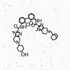 Cn1c(C(=O)Nc2cccc(-c3cccc(NC(=O)c4nc5c(n4C)CCN(C4CCC(O)CC4)C5)c3Cl)c2Cl)nc2c1CCN(CC13CCC(CC1)C3)C2